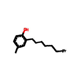 Cc1ccc(O)c(CCCCCCC(C)C)c1